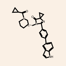 O=C(C1CC1)N1CCC[C@@H](CN2C(=O)C3(CC3)N=C2c2ccc(-c3ccc4[nH]ccc4c3)cc2)C1